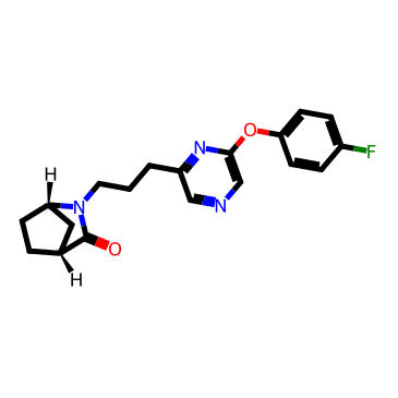 O=C1[C@@H]2CC[C@@H](C2)N1CCCc1cncc(Oc2ccc(F)cc2)n1